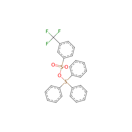 O=S(=O)(OS(c1ccccc1)(c1ccccc1)c1ccccc1)c1cccc(C(F)(F)F)c1